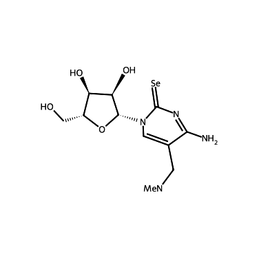 CNCc1cn([C@@H]2O[C@H](CO)[C@@H](O)[C@H]2O)c(=[Se])nc1N